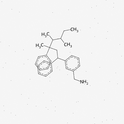 CCC(C)C(C)C(C)(CC(c1ccccc1)c1cccc(CN)c1)c1ccccc1